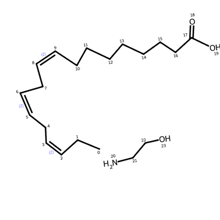 CC/C=C\C/C=C\C/C=C\CCCCCCCC(=O)O.NCCO